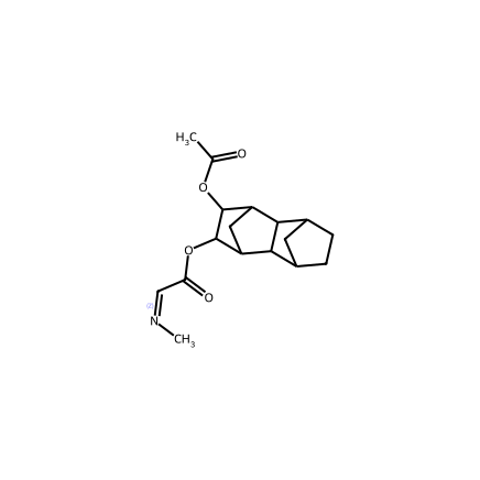 C/N=C\C(=O)OC1C2CC(C1OC(C)=O)C1C3CCC(C3)C21